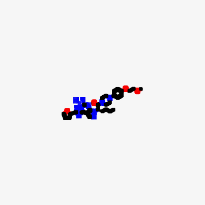 CCCC[C@@H](C(=O)N1CCN(c2ccc(OCCOC)cc2)CC1)n1ncc2c1nc(N)n1nc(-c3ccco3)nc21